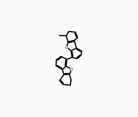 CC1CC=Cc2c1oc1c(-c3cccc4c5c(oc34)CCC=C5)cccc21